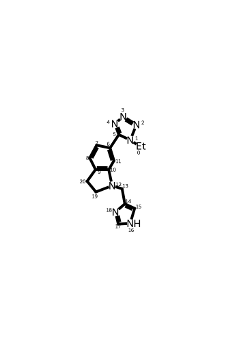 CCn1nnnc1-c1ccc2c(c1)N(Cc1c[nH]cn1)CC2